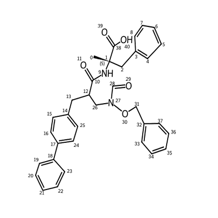 C[C@@](Cc1ccccc1)(NC(=O)C(Cc1ccc(-c2ccccc2)cc1)CN(C=O)OCc1ccccc1)C(=O)O